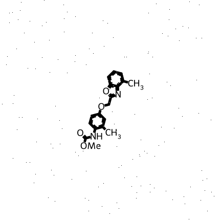 COC(=O)Nc1ccc(OCc2nc3c(C)cccc3o2)cc1C